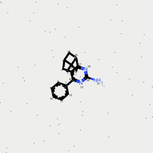 CC1(C)C2Cc3c(-c4ccccc4)nc(N)nc3C1C2